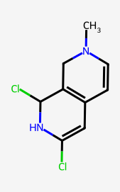 CN1C=CC2=C(C1)C(Cl)NC(Cl)=C2